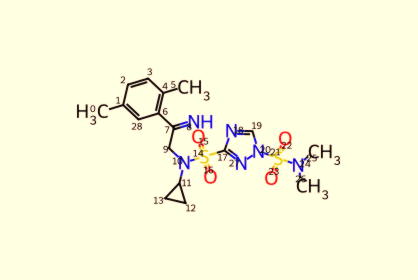 Cc1ccc(C)c(C(=N)CN(C2CC2)S(=O)(=O)c2ncn(S(=O)(=O)N(C)C)n2)c1